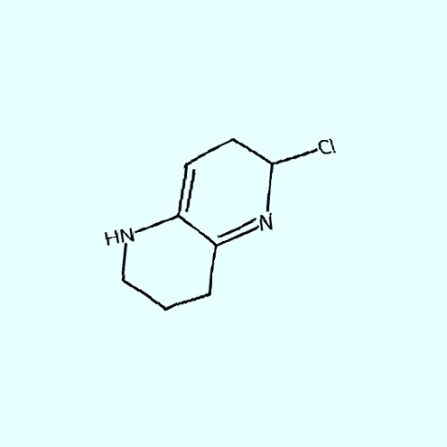 ClC1CC=C2NCCCC2=N1